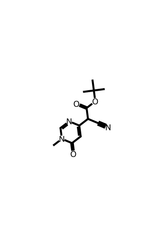 Cn1cnc(C(C#N)C(=O)OC(C)(C)C)cc1=O